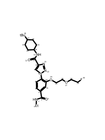 CCNC(=O)c1ccc(-n2cc(C(=O)NC3CCC(C(C)(C)C)CC3)nn2)c(OCCOCCF)c1